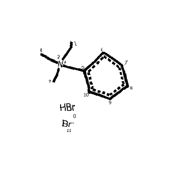 Br.C[N+](C)(C)c1ccccc1.[Br-]